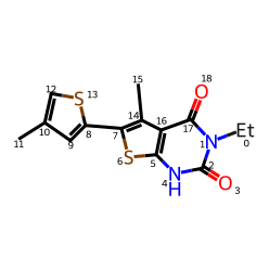 CCn1c(=O)[nH]c2sc(-c3cc(C)cs3)c(C)c2c1=O